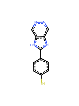 Sc1ccc(-c2nc3cnncc3[nH]2)cc1